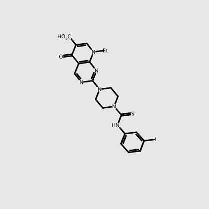 CCn1cc(C(=O)O)c(=O)c2cnc(N3CCN(C(=S)Nc4cccc(I)c4)CC3)nc21